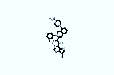 CC(Nc1ncnc2[nH]cnc12)C1=Cc2cccc(N3CCN(C)CC3)c2CN1c1ccccc1